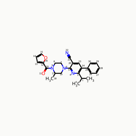 CC(C)c1nc(N2CCN(C(=O)c3ccco3)C(C)C2)c(C#N)cc1-c1ccccc1